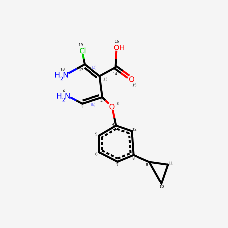 N/C=C(Oc1cccc(C2CC2)c1)\C(C(=O)O)=C(/N)Cl